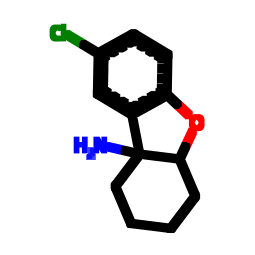 NC12CCCCC1Oc1ccc(Cl)cc12